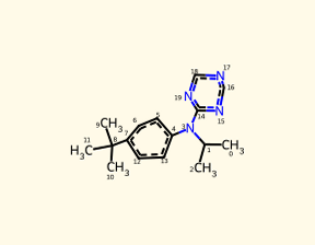 CC(C)N(c1ccc(C(C)(C)C)cc1)c1ncncn1